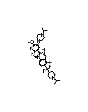 COc1nc2ncnc(N[C@H](C)c3cccc(C(F)(F)C4CCN(C(C)C)CC4)c3F)c2cc1N1CCN(C(C)C)CC1